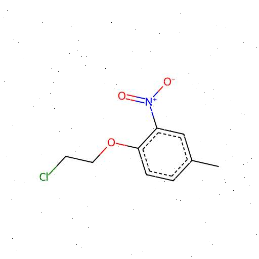 Cc1ccc(OCCCl)c([N+](=O)[O-])c1